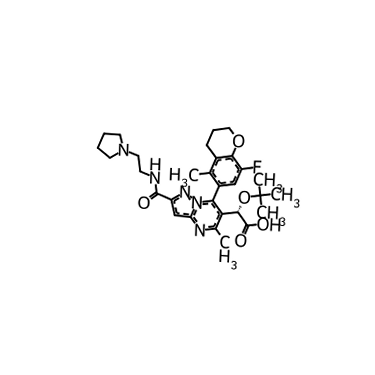 Cc1nc2cc(C(=O)NCCN3CCCC3)nn2c(-c2cc(F)c3c(c2C)CCCO3)c1[C@H](OC(C)(C)C)C(=O)O